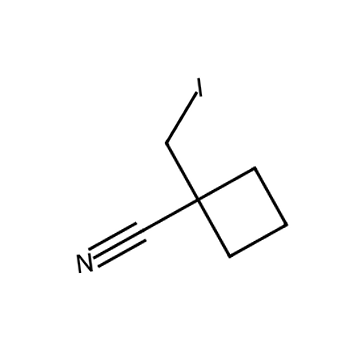 N#CC1(CI)CCC1